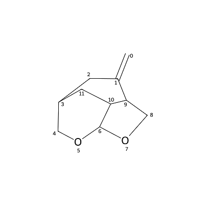 C=C1CC2COC3OCC1C3C2